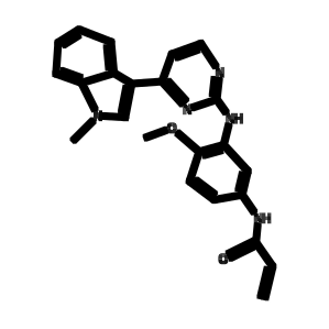 C=CC(=O)Nc1ccc(OC)c(Nc2nccc(-c3cn(C)c4ccccc34)n2)c1